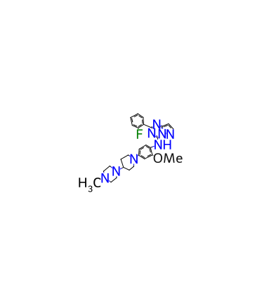 COc1cc(N2CCC(N3CCN(C)CC3)CC2)ccc1Nc1nc(-c2ccccc2F)nc2ccnn12